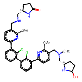 COc1nc(-c2cccc(-c3cccc(-c4ccc(CN(C=O)C[C@@H]5CCC(O)N5)c(OC)n4)c3Cl)c2Cl)ccc1CNC[C@@H]1CCC(=O)N1